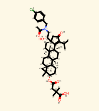 CC(=O)N(Cc1ccc(Cl)cc1)C[C@@H](O)[C@@]12CC[C@]3(C)[C@H](CC[C@@H]4[C@@]5(C)CC[C@H](OC(=O)CC(C)(C)C(=O)O)C6(C)C[C@]65CC[C@]43C)C1=C(C(C)C)C(=O)C2